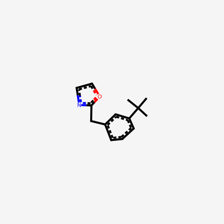 CC(C)(C)c1cccc(Cc2ncco2)c1